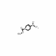 CC(C)(C)OC(=O)N1CC=C([S+]([O-])C(F)(F)F)CC1